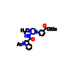 COC(=O)c1cccc(N2CCN(C)C(NC(=O)c3cn(C(C)=O)c4ccccc34)C2)c1